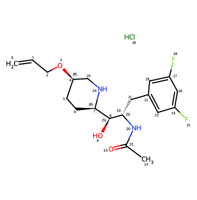 C=CCO[C@@H]1CC[C@H]([C@H](O)[C@H](Cc2cc(F)cc(F)c2)NC(C)=O)NC1.Cl